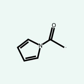 [CH2]C(=O)n1cccc1